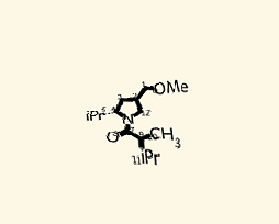 COCC1C[C@@H](C(C)C)N(C(=O)C(C)C(C)C)C1